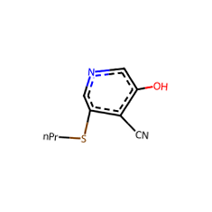 CCCSc1cncc(O)c1C#N